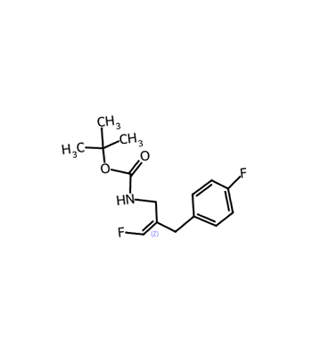 CC(C)(C)OC(=O)NC/C(=C\F)Cc1ccc(F)cc1